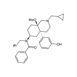 CO[C@]12CC[C@H](N(CC(C)C)C(=O)c3ccccc3)C[C@]1(c1cccc(O)c1)CCN(CC1CC1)C2